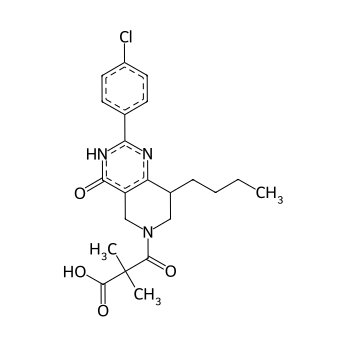 CCCCC1CN(C(=O)C(C)(C)C(=O)O)Cc2c1nc(-c1ccc(Cl)cc1)[nH]c2=O